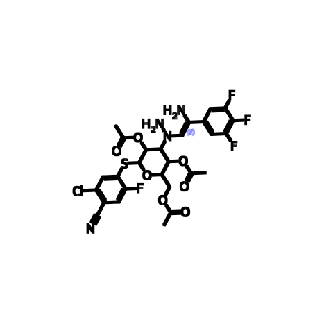 CC(=O)OCC1OC(Sc2cc(Cl)c(C#N)cc2F)C(OC(C)=O)C(N(N)/C=C(\N)c2cc(F)c(F)c(F)c2)C1OC(C)=O